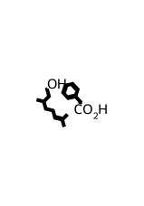 CC(C)=CCCC(C)CCO.O=C(O)Cc1ccccc1